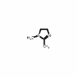 CC1=N[CH]CN1C